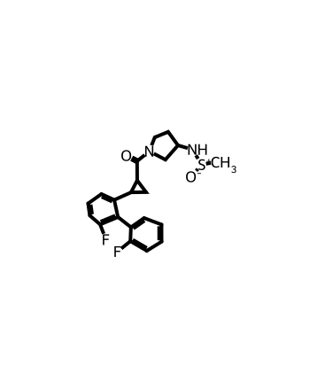 C[S+]([O-])NC1CCN(C(=O)C2CC2c2cccc(F)c2-c2ccccc2F)C1